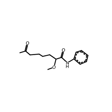 COC(CCCCC(C)=O)C(=O)Nc1ccccc1